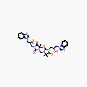 CC1(C)C(=O)N(CC(O)Cn2cnc3ccccc32)C(=O)N1CN1C(=O)N(CC(O)Cn2cnc3ccccc32)C(=O)C1(C)C